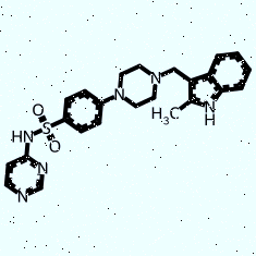 Cc1[nH]c2ccccc2c1CN1CCN(c2ccc(S(=O)(=O)Nc3ccncn3)cc2)CC1